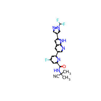 CC(C)(C#N)NC(=O)c1cc(F)cc(-c2cnc3[nH]c(-c4cnn(C(F)F)c4)cc3c2)n1